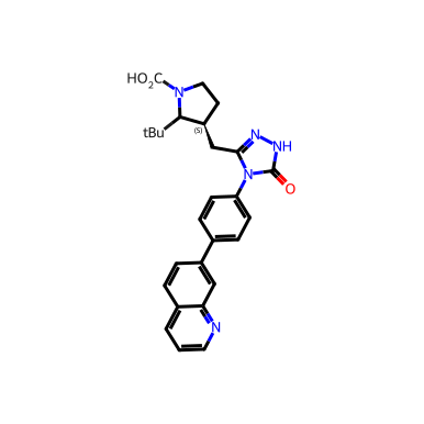 CC(C)(C)C1[C@H](Cc2n[nH]c(=O)n2-c2ccc(-c3ccc4cccnc4c3)cc2)CCN1C(=O)O